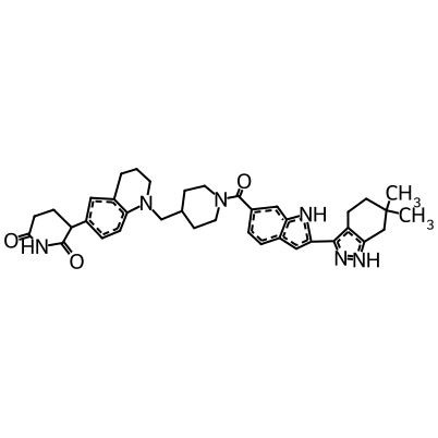 CC1(C)CCc2c(-c3cc4ccc(C(=O)N5CCC(CN6CCCc7cc(C8CCC(=O)NC8=O)ccc76)CC5)cc4[nH]3)n[nH]c2C1